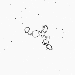 O=C(NC(CO)Cc1ccccc1)c1cccnc1N1CCCN(Cc2ccccc2)CC1